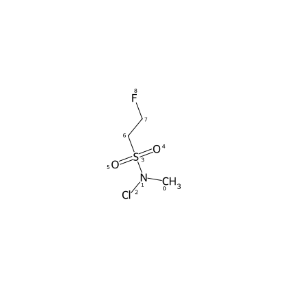 CN(Cl)S(=O)(=O)CCF